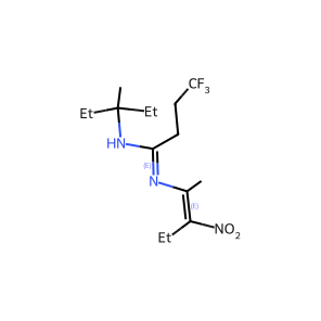 CC/C(=C(C)\N=C(/CCC(F)(F)F)NC(C)(CC)CC)[N+](=O)[O-]